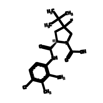 Cc1c(Cl)ccc(NC(=O)[C@@H]2CC(F)(C(C)(C)C)CN2C(=O)O)c1N